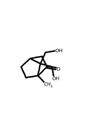 CC12CCC(CC1=O)C2(CO)CO